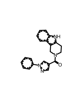 O=C(c1cnn(-c2ccccc2)c1)N1CCc2[nH]c3ccccc3c2C1